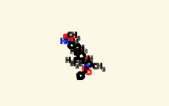 CC1=C2C[C@H]3[C@@H](CC[C@@H]4C[C@H](NS(C)(=O)=O)CC[C@@]43C)[C@@H]2CC[C@@]2(C1)O[C@@H]1C[C@H](C)CN(OC(=O)c3ccccc3)C1[C@H]2C